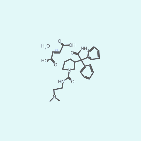 CN(C)CCNC(=O)N1CCCC(C(C(N)=O)(c2ccccc2)c2ccccc2)C1.O.O=C(O)/C=C/C(=O)O